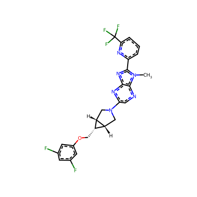 Cn1c(-c2cccc(C(F)(F)F)n2)nc2nc(N3C[C@@H]4[C@H](COc5cc(F)cc(F)c5)[C@@H]4C3)cnc21